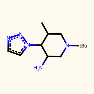 CC1CN(C(C)(C)C)CC(N)C1n1ccnn1